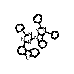 c1ccc(-c2nc(-c3cccc4oc5ccccc5c34)nc(-n3c4ccccc4c4c(-c5ccccc5)nc(-c5ccccc5)nc43)n2)cc1